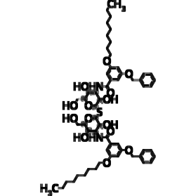 CCCCCCCCCOc1cc(OCc2ccccc2)cc(C(=O)N[C@H]2[C@@H](O)[C@@H](CO)O[C@@H](S[C@@H]3O[C@H](CO)[C@H](O)[C@H](NC(=O)c4cc(OCCCCCCCCC)cc(OCc5ccccc5)c4)[C@H]3O)[C@@H]2O)c1